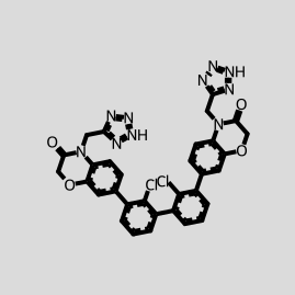 O=C1COc2cc(-c3cccc(-c4cccc(-c5ccc6c(c5)OCC(=O)N6Cc5nn[nH]n5)c4Cl)c3Cl)ccc2N1Cc1nn[nH]n1